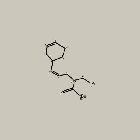 C=C(N(C/C=C\C1CC=CCC1)CC(C)C)C(C)(C)C